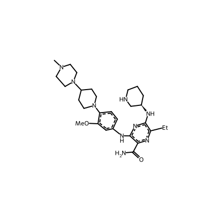 CCc1nc(C(N)=O)c(Nc2ccc(N3CCC(N4CCN(C)CC4)CC3)c(OC)c2)nc1N[C@@H]1CCCNC1